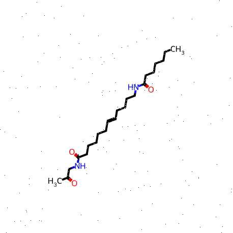 CCCCCCC(=O)NCCCC/C=C/CCCCCC(=O)NCC(C)=O